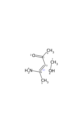 CC(=O)/C=C(/C)N.CO